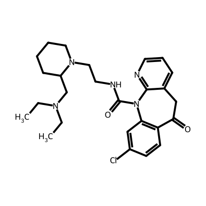 CCN(CC)CC1CCCCN1CCNC(=O)N1c2cc(Cl)ccc2C(=O)Cc2cccnc21